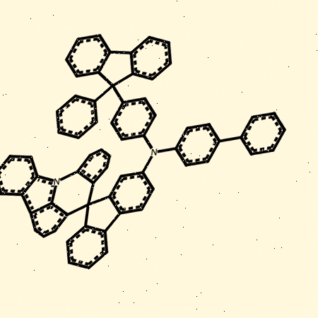 c1ccc(-c2ccc(N(c3ccc(C4(c5ccccc5)c5ccccc5-c5ccccc54)cc3)c3ccc4c(c3)C3(c5ccccc5-4)c4ccccc4-n4c5ccccc5c5cccc3c54)cc2)cc1